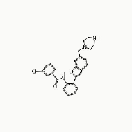 O=C(Nc1ccccc1-c1cc2ccc(CN3CCNCC3)cc2o1)c1cccc(Cl)c1